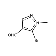 Cn1ncc(C=O)c1Br